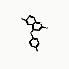 Fc1ccc(Oc2cc(Cl)nc3ccc(F)cc23)cc1